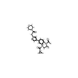 CC(=O)N1c2ccc(-c3cnn(CC(=O)N4CCOCC4)c3)cc2N(C(=O)C2CC2)CC1C